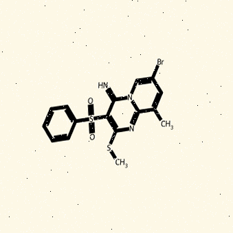 CSc1nc2c(C)cc(Br)cn2c(=N)c1S(=O)(=O)c1ccccc1